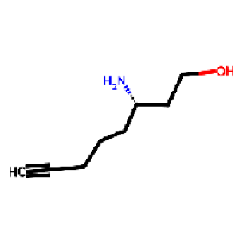 C#CCCC[C@H](N)CCO